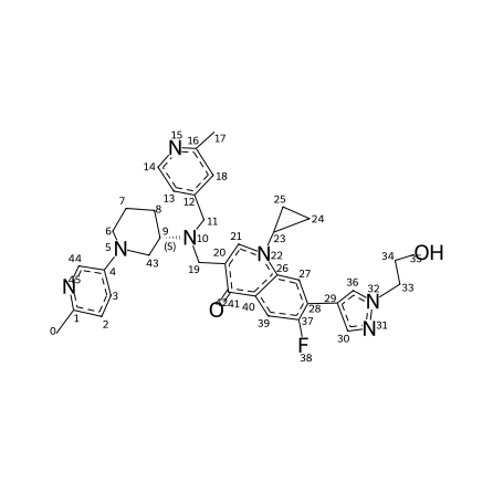 Cc1ccc(N2CCC[C@H](N(Cc3ccnc(C)c3)Cc3cn(C4CC4)c4cc(-c5cnn(CCO)c5)c(F)cc4c3=O)C2)cn1